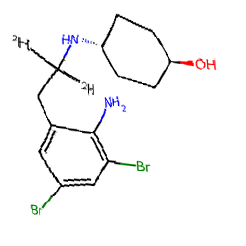 [2H]C([2H])(Cc1cc(Br)cc(Br)c1N)N[C@H]1CC[C@H](O)CC1